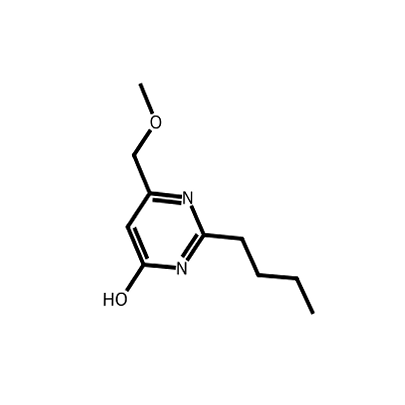 CCCCc1nc(O)cc(COC)n1